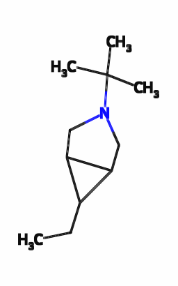 CCC1C2CN(C(C)(C)C)CC12